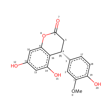 COc1cc([C@H]2CC(=O)Oc3cc(O)cc(O)c32)ccc1O